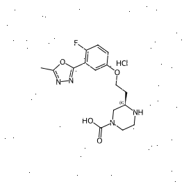 Cc1nnc(-c2cc(OCC[C@@H]3CN(C(=O)O)CCN3)ccc2F)o1.Cl